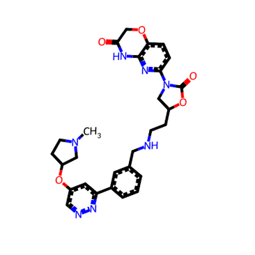 CN1CCC(Oc2cnnc(-c3cccc(CNCCC4CN(c5ccc6c(n5)NC(=O)CO6)C(=O)O4)c3)c2)C1